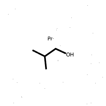 CC(C)CO.[Pr]